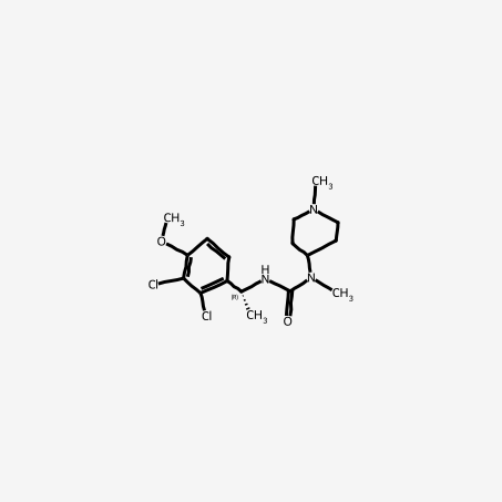 COc1ccc([C@@H](C)NC(=O)N(C)C2CCN(C)CC2)c(Cl)c1Cl